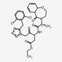 CCOC(=O)CC(NC(=O)[C@H](C)N1CCOC2C=CC=CC2C1=O)C(=O)Cn1nnnc1Cc1c(Cl)cccc1Cl